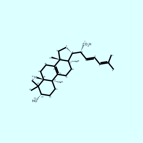 CC(C)=C/C=C/[C@@H](C(=O)O)[C@H]1CC[C@@]2(C)C3=C(CC[C@]12C)[C@@]1(C)CC[C@H](O)C(C)(C)[C@@H]1CC3